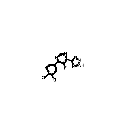 Fc1c(-c2ccc(Cl)c(Cl)c2)ncnc1-c1nn[nH]n1